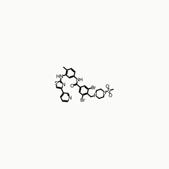 Cc1ccc(NC(=O)c2cc(Br)c(CN3CCN(S(C)(=O)=O)CC3)c(Br)c2)cc1Nc1nc(-c2cccnc2)cs1